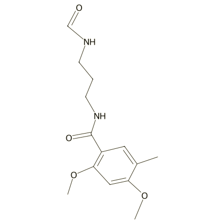 COc1cc(OC)c(C(=O)NCCCNC=O)cc1C